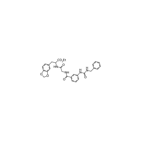 CCOC(=O)C(Cc1ccc2c(c1)OCO2)NC(=O)CNC(=O)c1cccc(NC(=O)NCc2ccccc2)c1